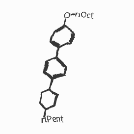 CCCCCCCCOc1ccc(-c2ccc(C3CCC(CCCCC)CC3)cc2)cc1